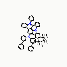 CC1(C)CCC(C)(C)c2cc3c(cc21)c1c(N(c2cccc(-c4ccccc4)c2)c2cccc(-c4ccccc4)c2)cc2c4c1n3-c1ccccc1B4N(c1ccccc1)c1ccccc1-2